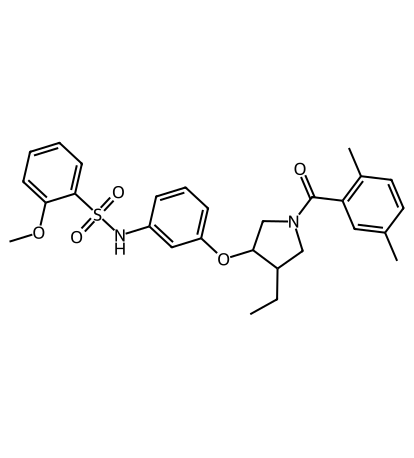 CCC1CN(C(=O)c2cc(C)ccc2C)CC1Oc1cccc(NS(=O)(=O)c2ccccc2OC)c1